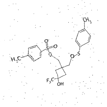 Cc1ccc(SOCC2(COS(=O)(=O)c3ccc(C)cc3)CC(O)(C(F)(F)F)C2)cc1